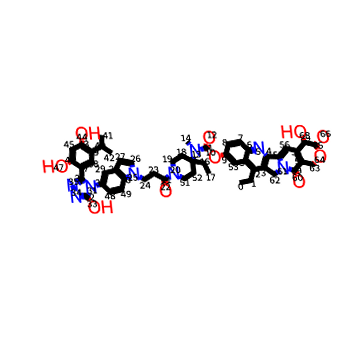 CCc1c2c(nc3ccc(OC(=O)N(C)C4(CC)CCN(C(=O)CCn5ccc6cc(-n7c(O)nnc7-c7cc(C(C)C)c(O)cc7O)ccc65)CC4)cc13)-c1cc3c(c(=O)n1C2)COC(=O)C3O